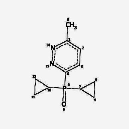 Cc1ccc(P(=O)(C2CC2)C2CC2)nn1